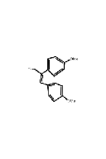 COc1ccc(C=C(C)c2ccc(OC)cc2)cc1